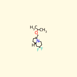 CC(C)OC[C@@H]1CC[C@H]2CC(F)(F)CCN12